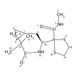 CNC(=O)C1([C@H](CC2CC2)N[S+]([O-])C(C)(C)C)SCCS1